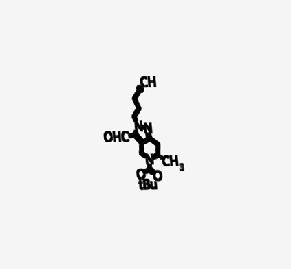 C#CCCCn1nc2c(c1C=O)CN(C(=O)OC(C)(C)C)[C@H](C)C2